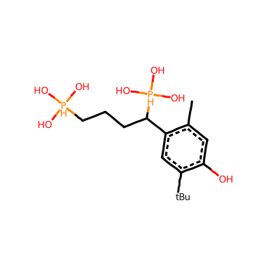 Cc1cc(O)c(C(C)(C)C)cc1C(CCC[PH](O)(O)O)[PH](O)(O)O